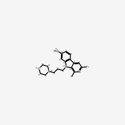 Cc1nc(F)cc2c3ccc(O)cc3n(CCCN3CCOCC3)c12